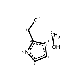 CO.ClCc1nccs1